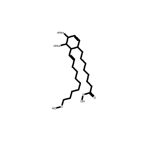 CCCCCCC1C=CC(CCCCCCCC(=O)OO)C(/C=C/CCCCCCCCOO)C1CCCCCC